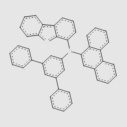 c1ccc(-c2cc(-c3ccccc3)cc(N(c3cc4ccccc4c4ccccc34)c3cccc4c3oc3ccccc34)c2)cc1